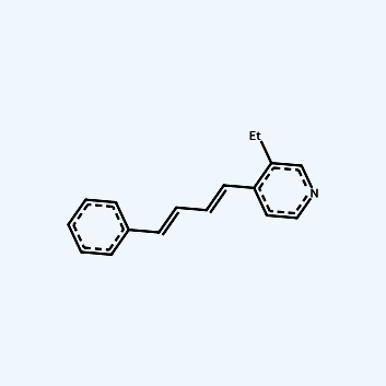 CCc1cnccc1C=CC=Cc1ccccc1